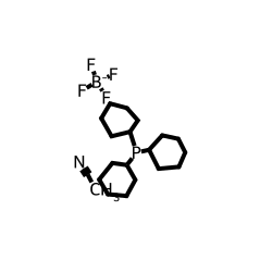 C1CCC(P(C2CCCCC2)C2CCCCC2)CC1.CC#N.F[B-](F)(F)F